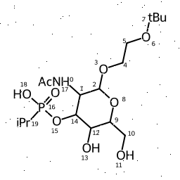 CC(=O)NC1C(OCCOC(C)(C)C)OC(CO)C(O)C1OP(=O)(O)C(C)C